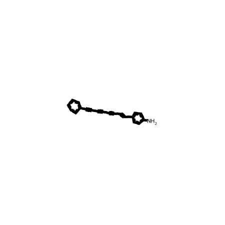 Nc1ccc(C#CC#CC#CC#Cc2ccccc2)cc1